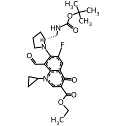 CCOC(=O)c1cn(C2CC2)c2c(C=O)c(N3CCC[C@@H]3CNC(=O)OC(C)(C)C)c(F)cc2c1=O